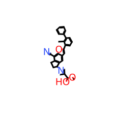 COC(O)C1CN(C2CCc3c2cc2cc(-c4cccc(-c5ccccc5)c4C)oc2c3C#N)C1